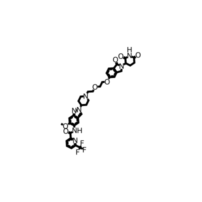 COc1cc2nn(C3CCN(CCOCCOc4ccc5c(c4)CN(C4CCC(=O)NC4=O)C5=O)CC3)cc2cc1NC(=O)c1cccc(C(F)(F)F)n1